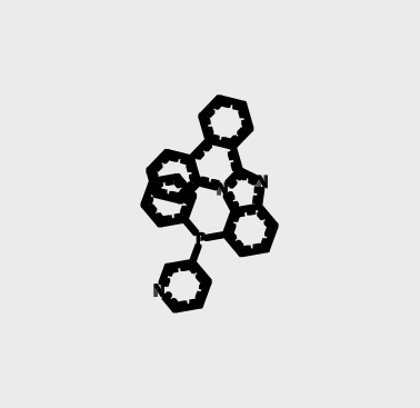 c1ccc(P(c2cccnc2)c2cccc3nc4c5ccccc5c5ccccc5n4c23)cc1